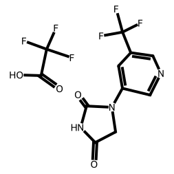 O=C(O)C(F)(F)F.O=C1CN(c2cncc(C(F)(F)F)c2)C(=O)N1